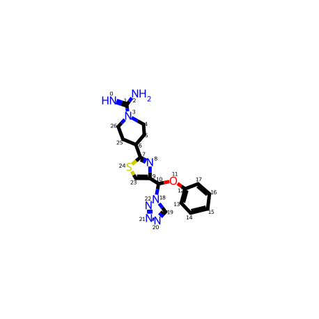 N=C(N)N1CCC(c2nc(C(Oc3ccccc3)n3cnnn3)cs2)CC1